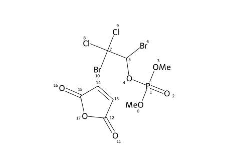 COP(=O)(OC)OC(Br)C(Cl)(Cl)Br.O=C1C=CC(=O)O1